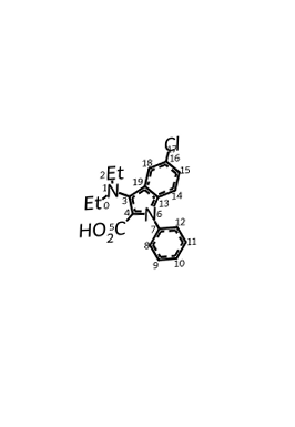 CCN(CC)c1c(C(=O)O)n(-c2ccccc2)c2ccc(Cl)cc12